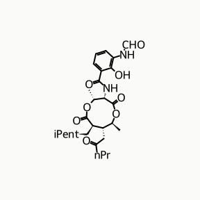 CCCC(=O)C[C@H]1[C@H](C)OC(=O)[C@@H](NC(=O)c2cccc(NC=O)c2O)[C@@H](C)OC(=O)[C@@H]1C[C@H](C)CCC